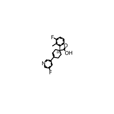 Cc1c(F)cccc1[C@]1(C(=O)O)CC=C(c2cncc(F)c2)CC1